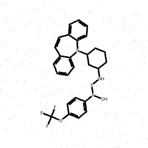 ON(SNC1CCCC(N2c3ccccc3C=Cc3ccccc32)C1)c1ccc(OC(F)(F)F)cc1